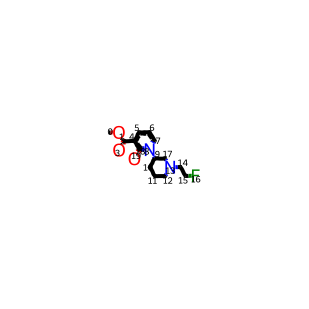 COC(=O)c1cccn(C2CCCN(CCF)C2)c1=O